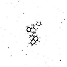 O=C(NC1CCCC1)c1cnccc1NC(=O)c1cccc2ccccc12